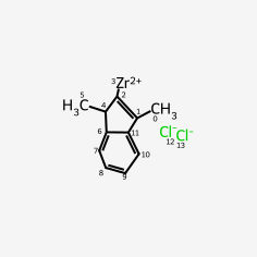 CC1=[C]([Zr+2])C(C)c2ccccc21.[Cl-].[Cl-]